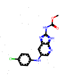 COC(=O)Nc1nc2cc(Nc3ccc(Cl)cc3)cnc2[nH]1